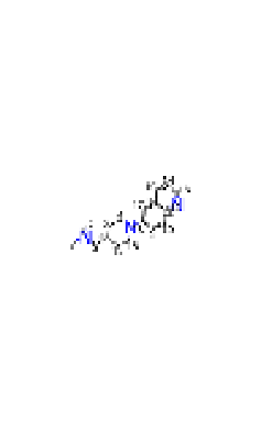 CN(C)CC1CCN(c2ccc3nc[c]cc3c2)CC1